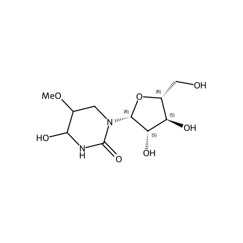 COC1CN([C@@H]2O[C@H](CO)[C@@H](O)[C@@H]2O)C(=O)NC1O